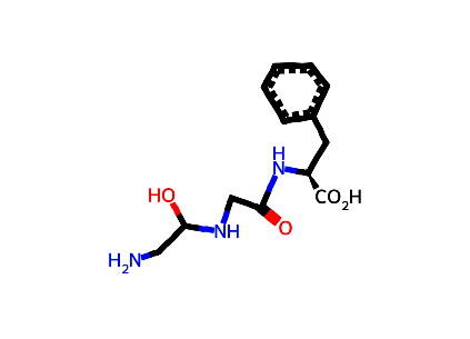 NCC(O)NCC(=O)N[C@@H](Cc1ccccc1)C(=O)O